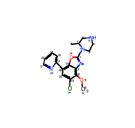 CC1CNCCN1c1nc2c(OC(F)(F)F)c(Cl)cc(-c3ccccn3)c2o1